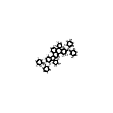 c1ccc(N(c2ccccc2)c2ccc3c(c2)C2(CCCC2)c2cc4c5c(cccc5c2-3)C2(CCCC2)c2cc(N(c3ccccc3)c3ccccc3)ccc2-4)cc1